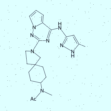 CC(=O)N(C)C1CCC2(CC1)CCN(c1nc(Nc3cc(C)[nH]n3)c3cccn3n1)C2